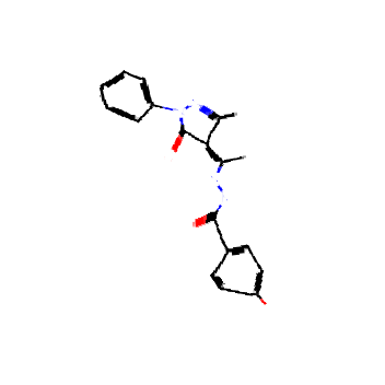 CC1=NN(c2ccccc2)C(=O)/C1=C(/C)NNC(=O)c1ccc(O)cc1